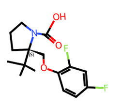 CC(C)(C)[C@]1(COc2ccc(F)cc2F)CCCN1C(=O)O